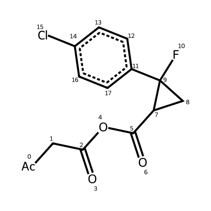 CC(=O)CC(=O)OC(=O)C1CC1(F)c1ccc(Cl)cc1